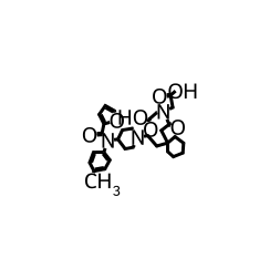 Cc1ccc(N(C(=O)c2ccco2)C2CCN(CCC3(CC(=O)N(CC(=O)O)CC(=O)O)CCCCC3)CC2)cc1